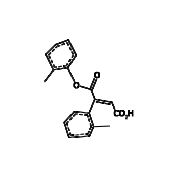 Cc1ccccc1OC(=O)C(=CC(=O)O)c1ccccc1C